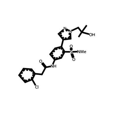 CNS(=O)(=O)c1cc(NC(=O)Cc2ccccc2Cl)ccc1-c1cnn(CC(C)(C)O)c1